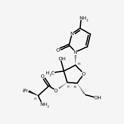 CC(C)[C@H](N)C(=O)O[C@H]1[C@@H](CO)O[C@@H](n2ccc(N)nc2=O)C1(C)O